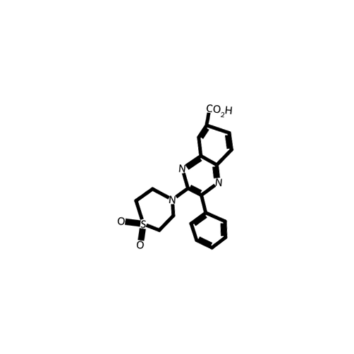 O=C(O)c1ccc2nc(-c3ccccc3)c(N3CCS(=O)(=O)CC3)nc2c1